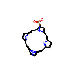 O=S(=O)=C1C=C2C=C3C=CC(=N3)C=c3ccc([nH]3)=CC3=NC(=CC1N2)C=C3